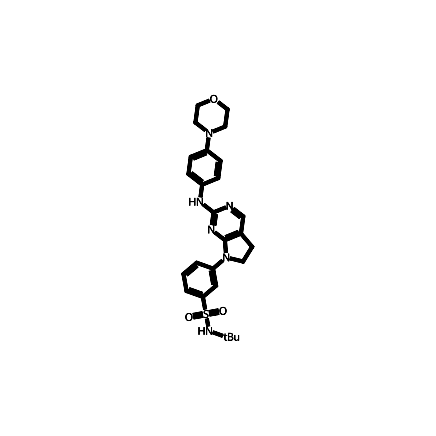 CC(C)(C)NS(=O)(=O)c1cccc(N2CCc3cnc(Nc4ccc(N5CCOCC5)cc4)nc32)c1